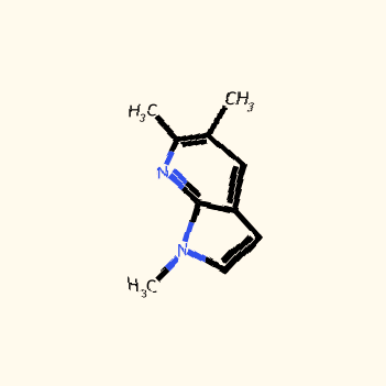 Cc1cc2ccn(C)c2nc1C